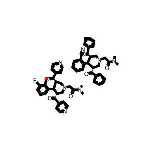 CN(C)C(=O)CN1C[C@H](C(=O)c2ccccc2)C(c2ccccc2C#N)[C@@H](C(=O)c2ccccc2)C1.Cc1c(F)cccc1C1[C@@H](C(=O)c2ccncc2)CN(CC(=O)N(C)C)C[C@@H]1C(=O)c1ccncc1